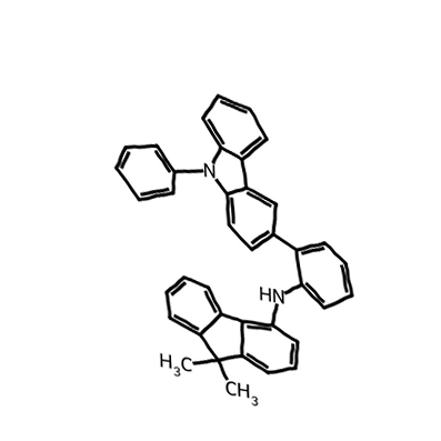 CC1(C)c2ccccc2-c2c(Nc3ccccc3-c3ccc4c(c3)c3ccccc3n4-c3ccccc3)cccc21